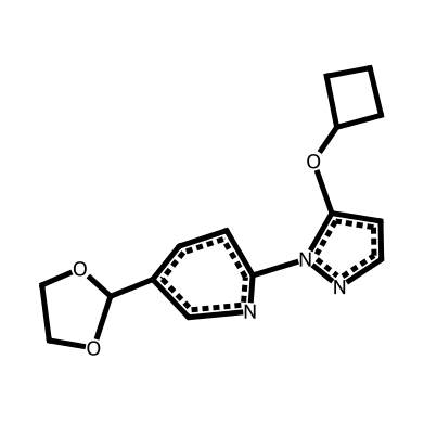 c1cc(OC2CCC2)n(-c2ccc(C3OCCO3)cn2)n1